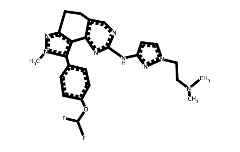 CN(C)CCn1ccc(Nc2ncc3c(n2)-c2c(nn(C)c2-c2ccc(OC(F)F)cc2)CC3)n1